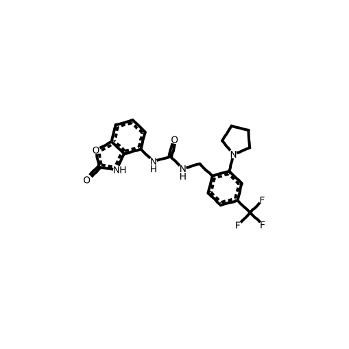 O=C(NCc1ccc(C(F)(F)F)cc1N1CCCC1)Nc1cccc2oc(=O)[nH]c12